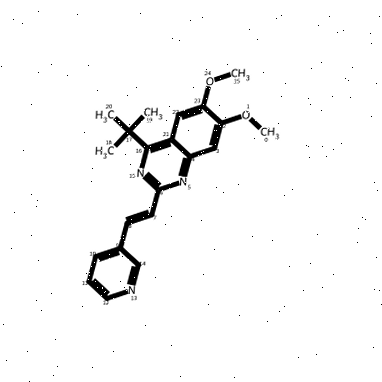 COc1cc2nc(/C=C/c3cccnc3)nc(C(C)(C)C)c2cc1OC